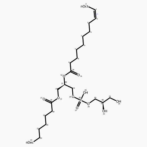 CCCCCCCC/C=C\CCCCCCCC(=O)O[C@H](COC(=O)CCCCCCCCCCCCCCC)COP(=O)(O)OC[C@H](O)CO